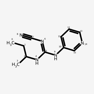 CCC(C)NC(=NC#N)Nc1cccnc1